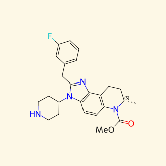 COC(=O)N1c2ccc3c(nc(Cc4cccc(F)c4)n3C3CCNCC3)c2CC[C@@H]1C